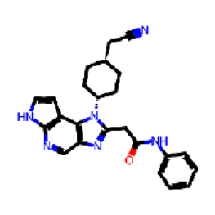 N#CC[C@H]1CC[C@H](n2c(CC(=O)Nc3ccccc3)nc3cnc4[nH]ccc4c32)CC1